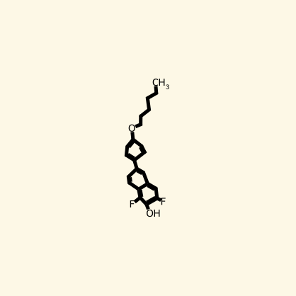 CCCCCCOc1ccc(-c2ccc3c(F)c(O)c(F)cc3c2)cc1